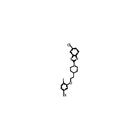 CCc1ccc(I)c(OCCC2CCN(c3nc4ccc(Cl)cc4s3)CC2)c1